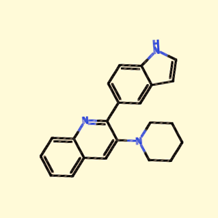 c1ccc2nc(-c3ccc4[nH]ccc4c3)c(N3CCCCC3)cc2c1